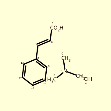 CN(C)C.Cl.O=C(O)C=Cc1ccccc1